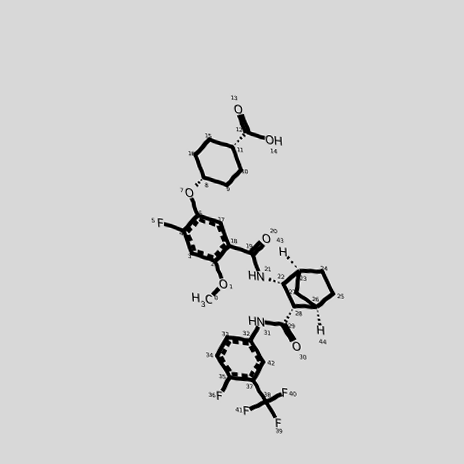 COc1cc(F)c(O[C@H]2CC[C@@H](C(=O)O)CC2)cc1C(=O)N[C@@H]1[C@H]2CC[C@H](C2)[C@@H]1C(=O)Nc1ccc(F)c(C(F)(F)F)c1